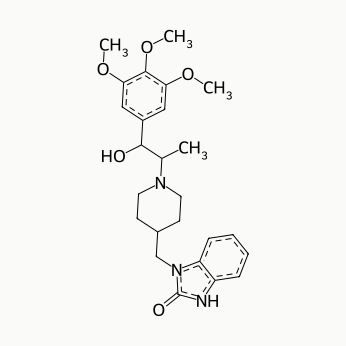 COc1cc(C(O)C(C)N2CCC(Cn3c(=O)[nH]c4ccccc43)CC2)cc(OC)c1OC